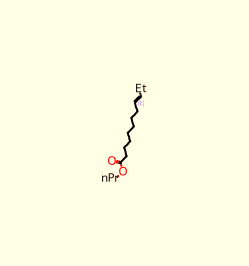 CC/C=C/CCCCCCCC(=O)OCCC